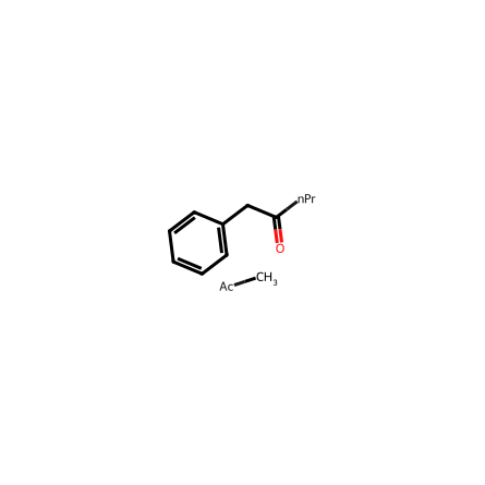 CC(C)=O.CCCC(=O)Cc1ccccc1